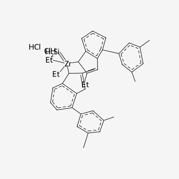 CCC1=Cc2c(-c3cc(C)cc(C)c3)cccc2[CH]1[Zr](=[SiH2])([CH2]C)([CH2]C)[CH]1C(C)=Cc2c(-c3cc(C)cc(C)c3)cccc21.Cl.Cl